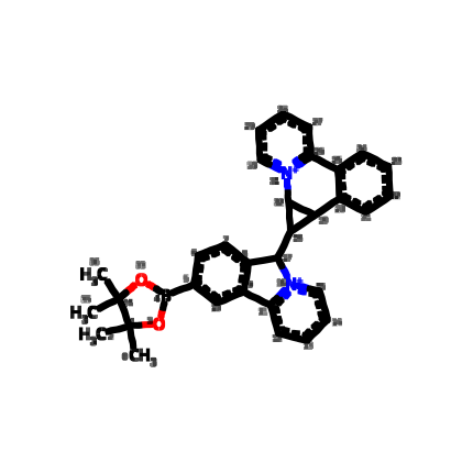 CC1(C)OB(c2ccc3c(c2)-c2cccc[n+]2C3C2C3c4ccccc4-c4cccc[n+]4C32)OC1(C)C